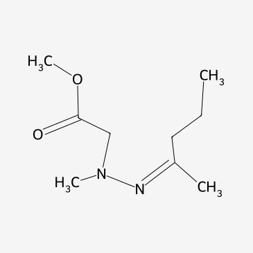 CCC/C(C)=N\N(C)CC(=O)OC